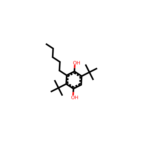 CCCCCc1c(O)c(C(C)(C)C)cc(O)c1C(C)(C)C